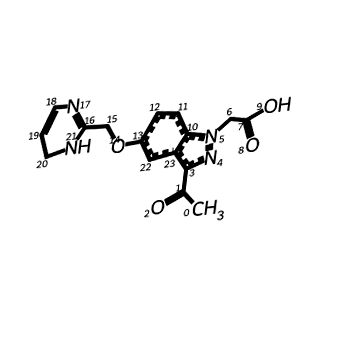 CC(=O)c1nn(CC(=O)O)c2ccc(OCC3=NC=CCN3)cc12